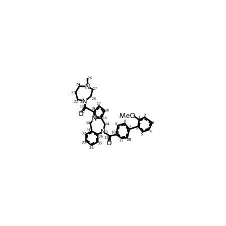 COc1ccccc1-c1ccc(C(=O)N2Cc3ccc(C(=O)N4CCCN(C)CC4)n3Cc3ccccc32)cc1